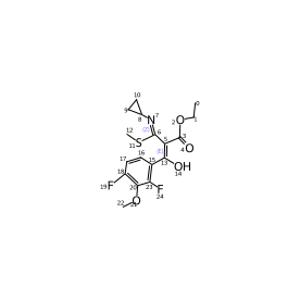 CCOC(=O)C(/C(=N/C1CC1)SC)=C(\O)c1ccc(F)c(OC)c1F